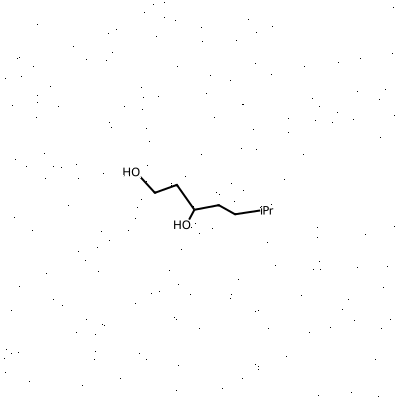 CC(C)CCC(O)CCO